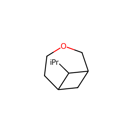 CC(C)C1C2CCOCC1C2